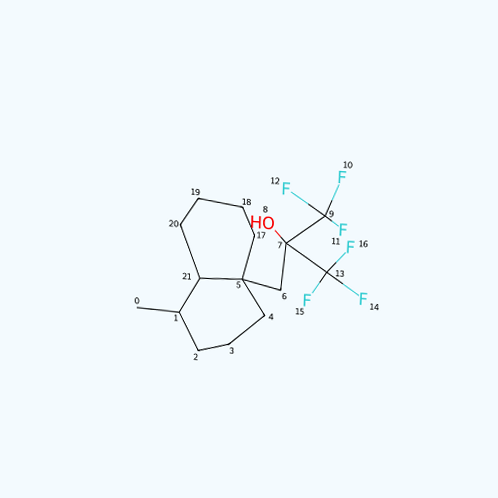 CC1CCCC2(CC(O)(C(F)(F)F)C(F)(F)F)CCCCC12